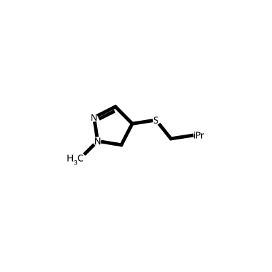 CC(C)CSC1C=NN(C)C1